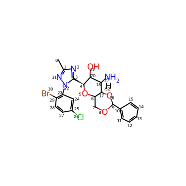 Cc1nc([C@@H]2OC3COC(c4ccccc4)O[C@@H]3C(N)C2O)n(-c2cc(Cl)ccc2Br)n1